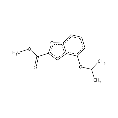 COC(=O)c1cc2c(OC(C)C)cccc2o1